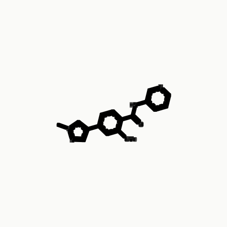 COc1cc(-c2cnn(C)c2)ccc1C(=O)Nc1cccnc1